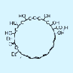 CC[C@H]1OC(=O)[C@H](CC)[C@@H](O)C[C@@H](O)C[C@@H](O)CCC[C@@H](O)C[C@@H](O)[C@@H](C(=O)O)[C@H](O)/C=C/C=C/C=C/C=C/C=C/[C@@H]1C